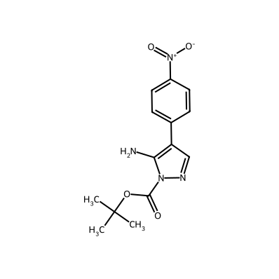 CC(C)(C)OC(=O)n1ncc(-c2ccc([N+](=O)[O-])cc2)c1N